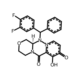 O=C1c2c(O)c(=O)ccn2N(C(c2ccccc2)c2ccc(F)c(F)c2)[C@@H]2COCCN12